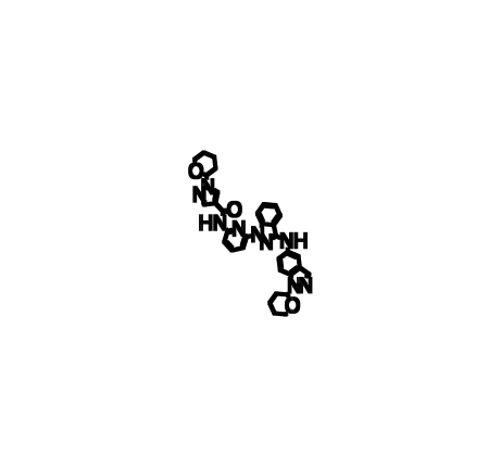 O=C(Nc1cccc(-n2nc(Nc3ccc4c(cnn4C4CCCCO4)c3)c3ccccc32)n1)c1cnn(C2CCCCO2)c1